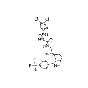 O=C(NC/C(F)=C1\CCC2=C1C(c1ccc(C(F)(F)F)cc1)N=C2)NS(=O)(=O)c1cc(Cl)c(Cl)s1